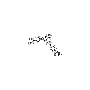 CCOC(=N)c1ccc(OCc2cccc(COc3ccc(C(=N)OCC)cc3)c2F)cc1.Cl.Cl